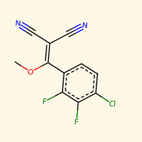 COC(=C(C#N)C#N)c1ccc(Cl)c(F)c1F